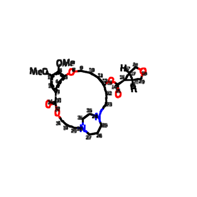 COc1cc2cc(c1OC)OCCCC(OC(=O)[C@H]1[C@@H]3COC[C@@H]31)CCN1CCCN(CCCOC2=O)CC1